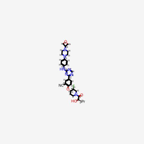 CC(C)[C@@H](O)C(=O)N1CC[C@H](Oc2ccc(-c3ncnc(Nc4ccc(N5CCN(C6COC6)CC5)cc4)n3)cc2C#N)[C@@H](F)C1